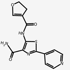 NC(=O)c1nc(-c2ccncc2)sc1NC(=O)C1=COCC1